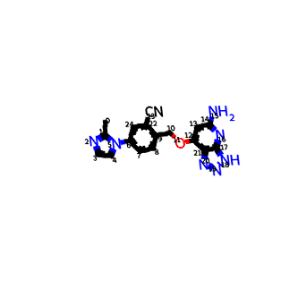 Cc1nccn1-c1ccc(COc2cc(N)nc3[nH]nnc23)c(C#N)c1